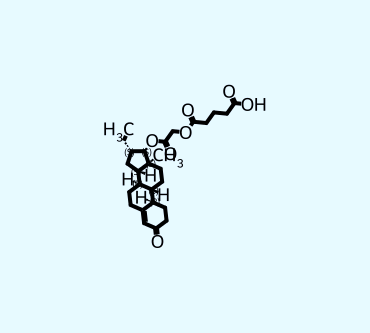 CC[C@H]1C[C@H]2[C@@H]3CCC4=CC(=O)CC[C@@H]4[C@H]3CC[C@]2(C)[C@H]1OC(=O)COC(=O)CCCC(=O)O